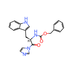 O=C(N[C@H](Cc1c[nH]c2ccccc12)C(=O)n1ccnc1)OCc1ccccc1